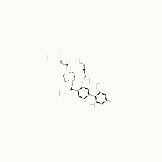 C=CC(=C)N1CCN(C(=C)c2cc(C)c(-c3ccc(F)cc3F)cc2NCC#N)CC1